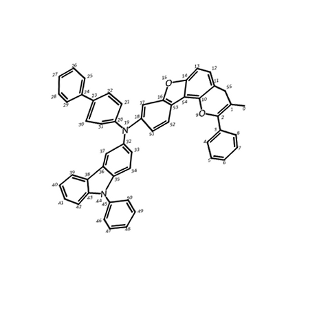 CC1=C(c2ccccc2)Oc2c(ccc3oc4cc(N(c5ccc(-c6ccccc6)cc5)c5ccc6c(c5)c5ccccc5n6-c5ccccc5)ccc4c23)C1